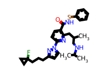 CC(CNC(C)C)Cc1nc(-n2ccc(CCCC3(F)CC3)n2)ccc1C(=O)NSc1ccccc1